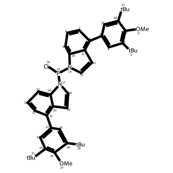 COc1c(C(C)(C)C)cc(-c2cccc3c2ccn3P(Cl)n2ccc3c(-c4cc(C(C)(C)C)c(OC)c(C(C)(C)C)c4)cccc32)cc1C(C)(C)C